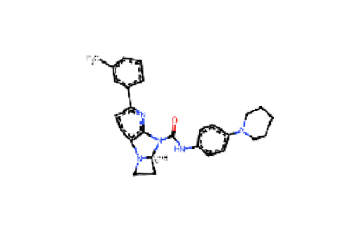 O=C(Nc1ccc(N2CCCCC2)cc1)N1c2nc(-c3cccc(C(F)(F)F)c3)ccc2N2CC[C@@H]21